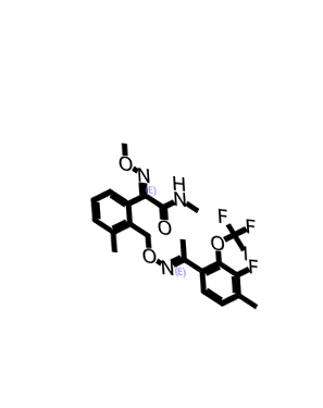 CNC(=O)/C(=N/OC)c1cccc(C)c1CO/N=C(\C)c1ccc(C)c(F)c1OC(F)(F)I